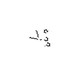 CC(C)(C)C(=O)CCCCCN(CCCCCC(=O)C(C)(C)C)CCO[C@H]1O[C@H](CO[C@H]2O[C@H](CO)[C@@H](O)[C@H](O)[C@@H]2O)[C@@H](O)[C@H](O[C@H]2O[C@H](CO)[C@@H](O)[C@H](O)[C@@H]2O)[C@@H]1O